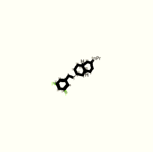 CCCC1CC[C@@H]2C[C@H](CCc3cc(F)cc(F)c3)CC[C@@H]2C1